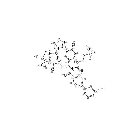 CC(C)(CCNC(=N)N(C(=O)c1ccc(-c2cccc(F)c2)cc1)[C@H](COC(=O)NC1(C(F)F)CC1)c1ccc(Cl)c(-c2ncnn2C(F)F)c1)C(F)(F)F